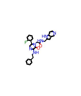 O=C(Cn1c(-c2ccccc2F)cnc(NCCc2ccccc2)c1=O)NCc1cc2cnccc2[nH]1